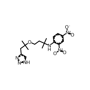 CC(C)(CCOC(C)(C)Cc1c[nH]nn1)Nc1ccc([N+](=O)[O-])cc1[N+](=O)[O-]